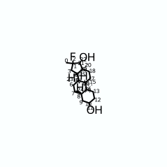 CC1(F)C[C@H]2[C@@H]3CC=C4CC(O)CC[C@]4(C)[C@@H]3CC[C@]2(C)C1O